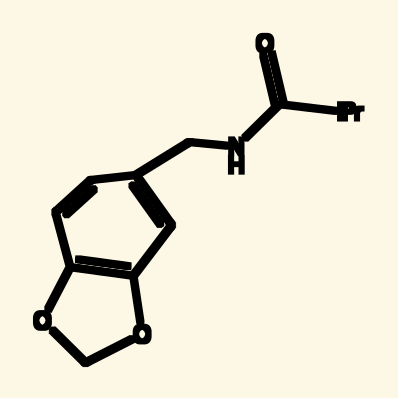 CC(C)C(=O)NCc1ccc2c(c1)OCO2